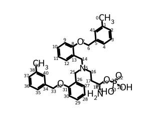 Cc1cccc(COc2ccccc2CN(CC[C@H](N)OP(=O)(O)O)Cc2ccccc2OCc2cccc(C)c2)c1